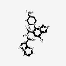 COC1CCN(c2c(C(C)NC(=O)c3cnn4cccnc34)cc(Cl)c3cncn23)CC1